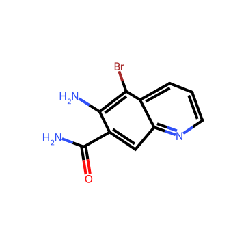 NC(=O)c1cc2ncccc2c(Br)c1N